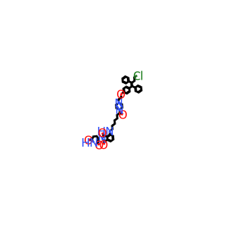 O=C1CCC(N2C(=O)c3cccc(NCCCCCCC(=O)N4CCN(CCOc5ccc(/C(=C(/CCCl)c6ccccc6)c6ccccc6)cc5)CC4)c3C2=O)C(=O)N1